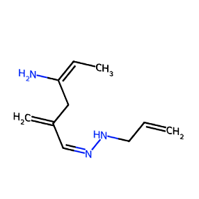 C=CCN/N=C\C(=C)C/C(N)=C\C